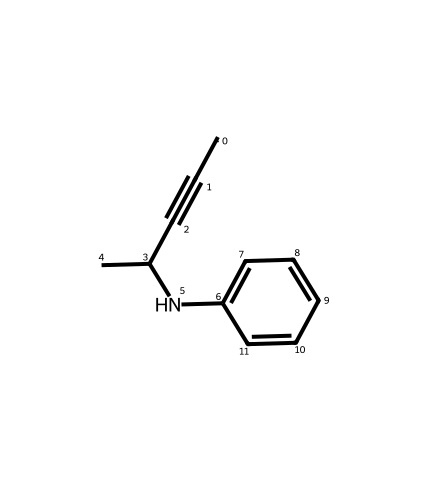 [CH2]C#CC(C)Nc1ccccc1